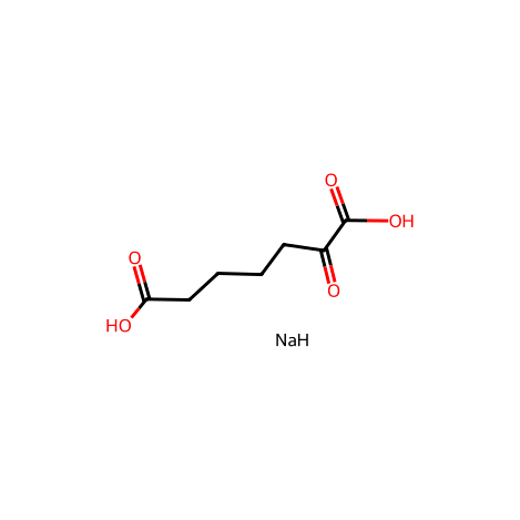 O=C(O)CCCCC(=O)C(=O)O.[NaH]